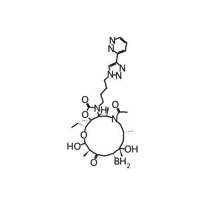 B[C@@H]1CC(=O)[C@@H](C)C(O)O[C@H](CC)[C@@]2(C)OC(=O)N(CCCCn3cc(-c4cccnn4)nn3)[C@@H]2[C@@H](C)N(C(C)=O)C[C@H](C)C[C@]1(C)O